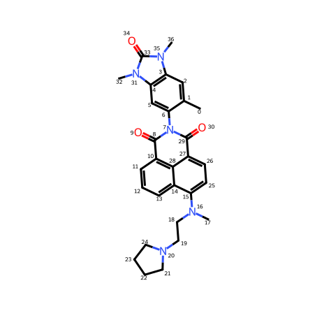 Cc1cc2c(cc1N1C(=O)c3cccc4c(N(C)CCN5CCCC5)ccc(c34)C1=O)n(C)c(=O)n2C